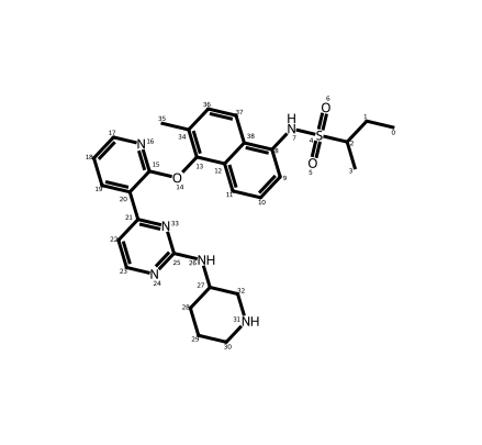 CCC(C)S(=O)(=O)Nc1cccc2c(Oc3ncccc3-c3ccnc(NC4CCCNC4)n3)c(C)ccc12